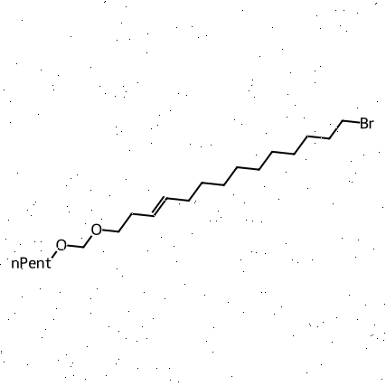 CCCCCOCOCCC=CCCCCCCCCCCBr